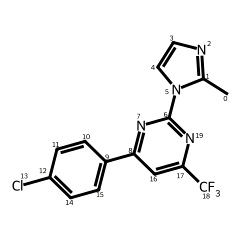 Cc1nccn1-c1nc(-c2ccc(Cl)cc2)cc(C(F)(F)F)n1